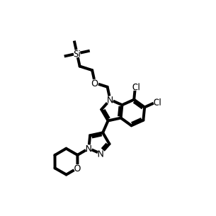 C[Si](C)(C)CCOCn1cc(-c2cnn(C3CCCCO3)c2)c2ccc(Cl)c(Cl)c21